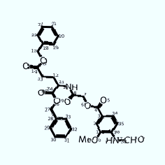 COc1cc(C(=O)OCC(=O)NC(CCC(=O)OCc2ccccc2)C(=O)OCc2ccccc2)ccc1NC=O